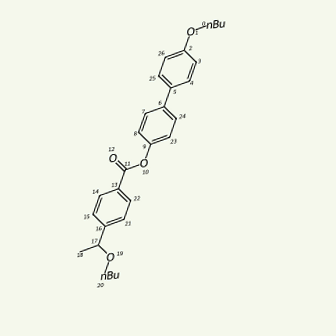 CCCCOc1ccc(-c2ccc(OC(=O)c3ccc(C(C)OCCCC)cc3)cc2)cc1